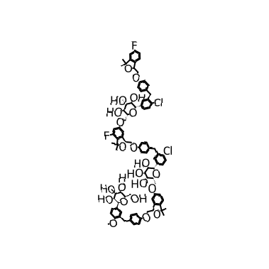 COc1ccc([C@@H]2O[C@H](CO)[C@@H](O)[C@H](O)[C@H]2O)cc1Cc1ccc(OCC2OC(C)(C)c3ccc(OC[C@H]4O[C@@H](c5ccc(Cl)c(Cc6ccc(OCC7OC(C)(C)c8c(F)cc(OC[C@H]9O[C@@H](c%10ccc(Cl)c(Cc%11ccc(OCC%12OC(C)(C)c%13cc(F)ccc%13%12)cc%11)c%10)[C@H](O)[C@@H](O)[C@@H]9O)cc87)cc6)c5)[C@H](O)[C@@H](O)[C@@H]4O)cc32)cc1